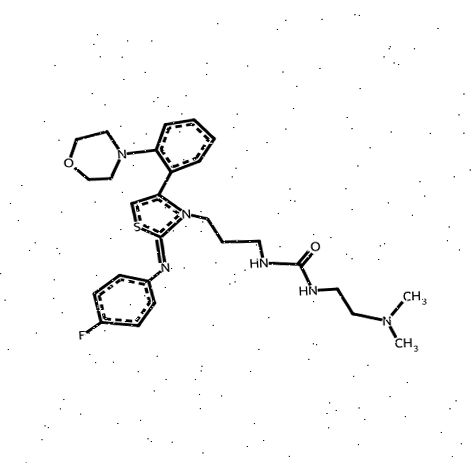 CN(C)CCNC(=O)NCCCn1c(-c2ccccc2N2CCOCC2)csc1=Nc1ccc(F)cc1